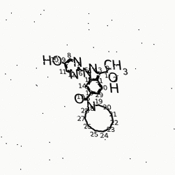 CC(O)c1nn(-c2ncc(O)cn2)c2cc(C(=O)N3CCCCCCCCCC3)ccc12